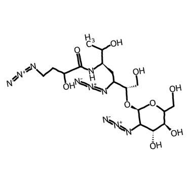 CC(O)[C@@H](CC(N=[N+]=[N-])[C@H](CO)O[C@H]1OC(CO)[C@@H](O)[C@H](O)C1N=[N+]=[N-])NC(=O)C(O)CCN=[N+]=[N-]